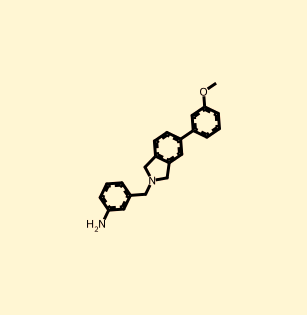 COc1cccc(-c2ccc3c(c2)CN(Cc2cccc(N)c2)C3)c1